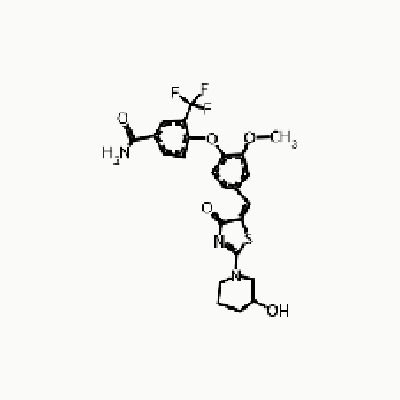 COc1cc(/C=C2/SC(N3CCCC(O)C3)=NC2=O)ccc1Oc1ccc(C(N)=O)cc1C(F)(F)F